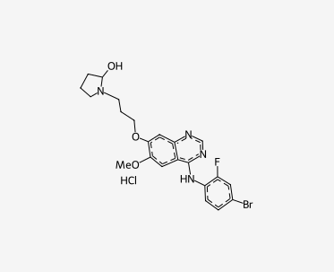 COc1cc2c(Nc3ccc(Br)cc3F)ncnc2cc1OCCCN1CCCC1O.Cl